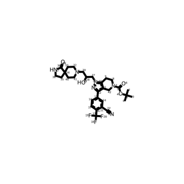 CC(C)(C)OC(=O)N1CCc2c(c(-c3ccc(C(F)(F)F)c(C#N)c3)nn2CC(O)CN2CCC3(CCNC3=O)CC2)C1